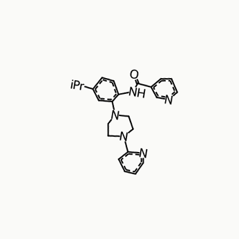 CC(C)c1ccc(NC(=O)c2cccnc2)c(N2CCN(c3ccccn3)CC2)c1